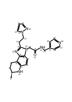 C[C@H]1CCc2c(ccc3c2nc(CCn2cccn2)n3CC(=O)NCc2ccncc2)N1